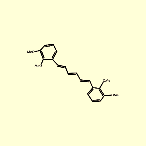 COc1cccc(/C=C/C=C/C=C/c2cccc(OC)c2OC)c1OC